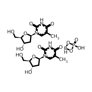 Cc1cn([C@H]2C[C@H](O)[C@@H](CO)O2)c(=O)[nH]c1=O.Cc1cn([C@H]2C[C@H](O)[C@@H](CO)O2)c(=O)[nH]c1=O.O=P1(O)OBO1